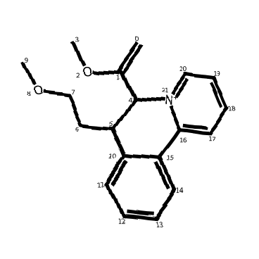 C=C(OC)C1C(CCOC)c2ccccc2-c2cccc[n+]21